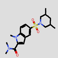 CC1CC(C)CN(S(=O)(=O)c2ccc3c(c2)cc(C(=O)N(C)C)n3C)C1